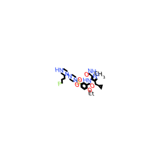 CCOc1ccc(S(=O)(=O)N2CCN(N3CCNCC3CCCF)CC2)cc1C(=O)Nc1c(CC2CC2)cn(C)c1C(N)=O